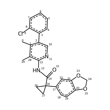 Cc1c(-c2ccccc2Cl)cnc(NC(=O)C2(c3ccc4c(c3)OCO4)CC2)c1C